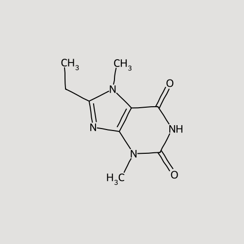 CCc1nc2c(c(=O)[nH]c(=O)n2C)n1C